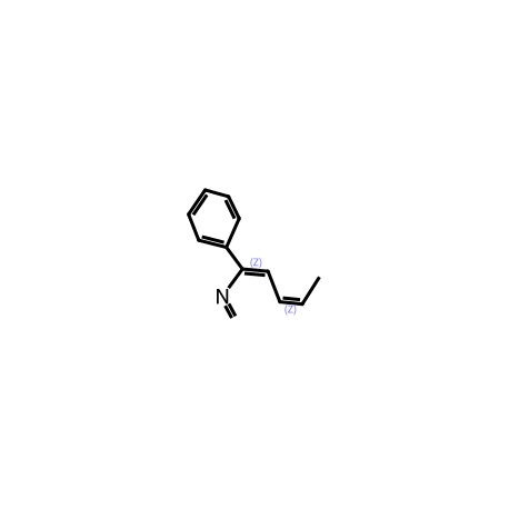 C=N/C(=C\C=C/C)c1ccccc1